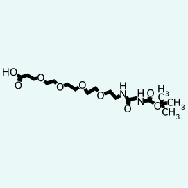 CC(C)(C)OC(=O)NCC(=O)NCCOCCOCCOCCOCCC(=O)O